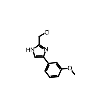 COc1cccc(-c2c[nH]c(CCl)n2)c1